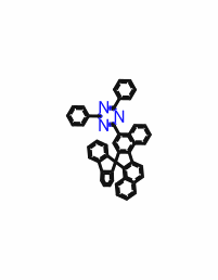 c1ccc(-c2nc(-c3ccccc3)nc(-c3cc4c(c5ccccc35)-c3ccc5ccccc5c3C43c4ccccc4-c4ccccc43)n2)cc1